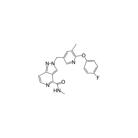 CNC(=O)c1nccc2nn(Cc3cnc(Oc4ccc(F)cc4)c(C)c3)cc12